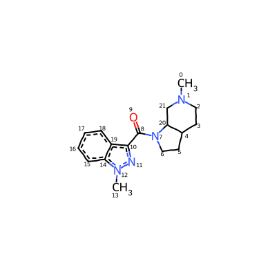 CN1CCC2CCN(C(=O)c3nn(C)c4ccccc34)C2C1